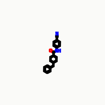 N#Cc1ccc(NC(=O)C2CCC(Cc3ccccc3)CC2)cc1